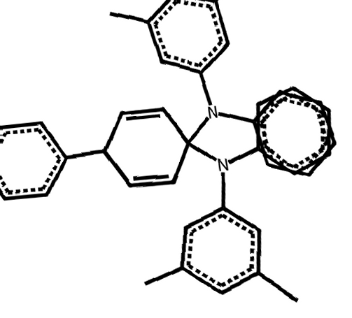 Cc1cc(C)cc(N(c2ccccc2)C2(N(c3ccccc3)c3cc(C)cc(C)c3)C=CC(c3ccccc3)C=C2)c1